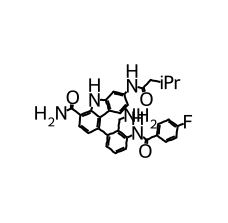 CC(C)CC(=O)Nc1ccc2c(c1)[nH]c1c(C(N)=O)ccc(-c3cccc(NC(=O)c4ccc(F)cc4)c3CN)c12